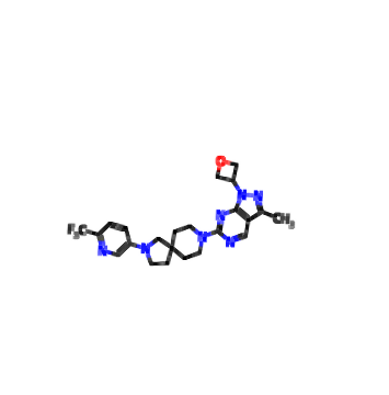 Cc1nn(C2COC2)c2nc(N3CCC4(CCN(c5ccc(C(F)(F)F)nc5)C4)CC3)ncc12